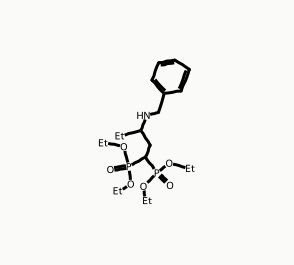 CCOP(=O)(OCC)C(CC(CC)NCc1ccccc1)P(=O)(OCC)OCC